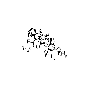 CCC(F)C(OC(C)=O)c1ncccc1S(=O)(=O)NC(=O)Nc1nc(OC)cc(OC)n1